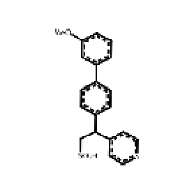 COc1cccc(-c2ccc(C(CS(=O)(=O)O)c3ccncc3)cc2)c1